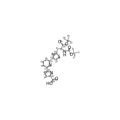 CC(C)(C)OC(=O)NC(Cc1nc(-c2cccc(-c3nc(C(=O)O)cs3)n2)cs1)C(=O)OC(C)(C)C